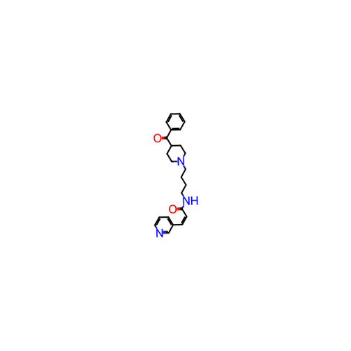 O=C(/C=C\c1cccnc1)NCCCCN1CCC(C(=O)c2ccccc2)CC1